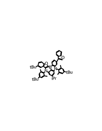 Cc1cc(C(C)(C)C)cc(C)c1N1c2cc(-c3coc4ccccc34)ccc2B2c3oc4ccc(C(C)(C)C)cc4c3N(c3c(C)cc(C(C)(C)C)cc3C)c3cc(C(C)C)cc1c32